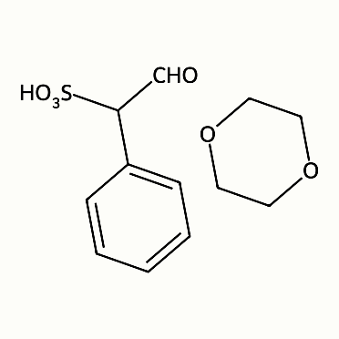 C1COCCO1.O=CC(c1ccccc1)S(=O)(=O)O